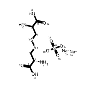 NC(CSSC[C@H](N)C(=O)O)C(=O)O.O=S(=O)([O-])[O-].[Na+].[Na+]